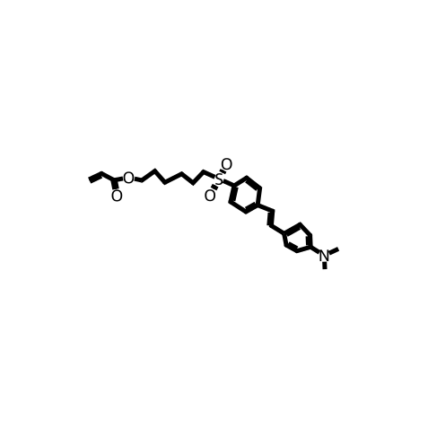 C=CC(=O)OCCCCCCS(=O)(=O)c1ccc(/C=C/c2ccc(N(C)C)cc2)cc1